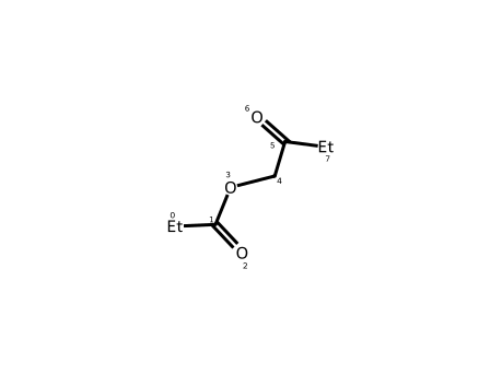 [CH2]CC(=O)OCC(=O)CC